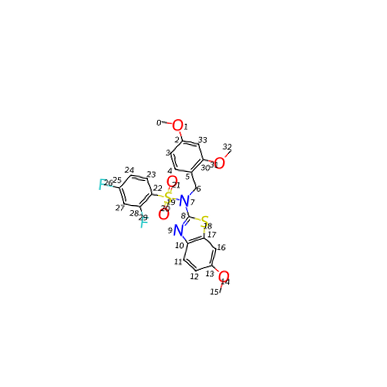 COc1ccc(CN(c2nc3ccc(OC)cc3s2)S(=O)(=O)c2ccc(F)cc2F)c(OC)c1